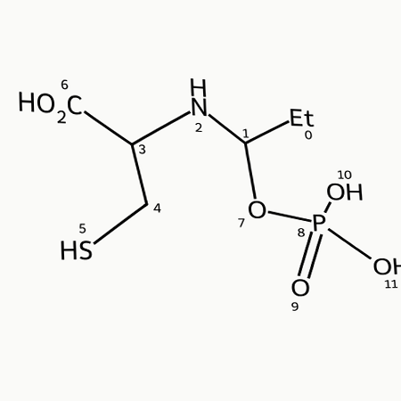 CCC(NC(CS)C(=O)O)OP(=O)(O)O